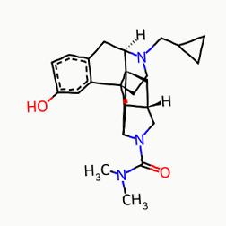 CN(C)C(=O)N1C[C@H]2C[C@@]34CCC1C2[C@@]31CCN(CC2CC2)[C@@H]4Cc2ccc(O)cc21